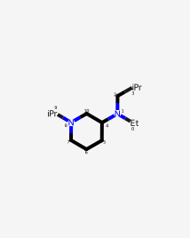 CCN(CC(C)C)C1CCCN(C(C)C)C1